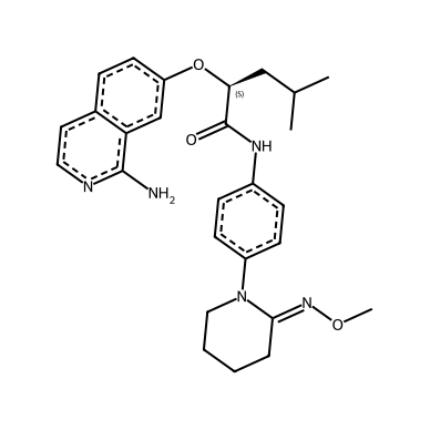 CON=C1CCCCN1c1ccc(NC(=O)[C@H](CC(C)C)Oc2ccc3ccnc(N)c3c2)cc1